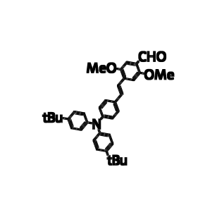 COc1cc(/C=C/c2ccc(N(c3ccc(C(C)(C)C)cc3)c3ccc(C(C)(C)C)cc3)cc2)c(OC)cc1C=O